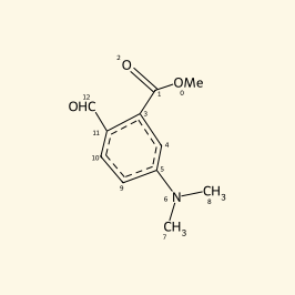 COC(=O)c1cc(N(C)C)ccc1C=O